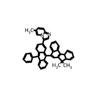 Cc1ccc2ncc(-c3ccc4c(-c5ccccc5)c5ccccc5c(-c5cc6c(c7ccccc57)C5C=CC=CC5C6(C)C)c4c3)n2c1